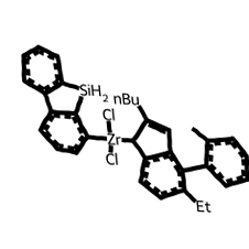 CCCCC1=Cc2c(ccc(CC)c2-c2ccccc2C)[CH]1[Zr]([Cl])([Cl])[c]1cccc2c1[SiH2]c1ccccc1-2